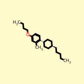 CCCCC[C@H]1CC[C@H](c2ccc(OCCCC)cc2C)CC1